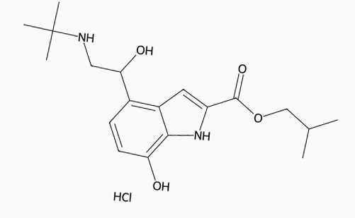 CC(C)COC(=O)c1cc2c(C(O)CNC(C)(C)C)ccc(O)c2[nH]1.Cl